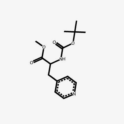 COC(=O)C(Cc1ccncc1)NC(=O)OC(C)(C)C